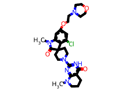 CN1CCCc2c1nc(N1CCC3(CC1)C(=O)N(C)c1cc(OCCN4CCOCC4)cc(Cl)c13)[nH]c2=O